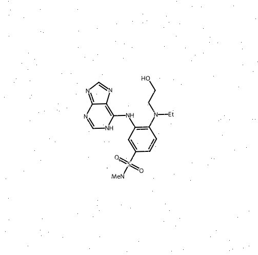 CCN(CCO)c1ccc(S(=O)(=O)NC)cc1Nc1[nH]cnc2ncnc1-2